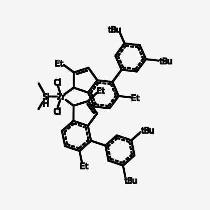 CCC1=Cc2c(ccc(CC)c2-c2cc(C(C)(C)C)cc(C(C)(C)C)c2)[CH]1[Zr]([Cl])([Cl])([CH]1C(CC)=Cc2c1ccc(CC)c2-c1cc(C(C)(C)C)cc(C(C)(C)C)c1)[SiH](C)C